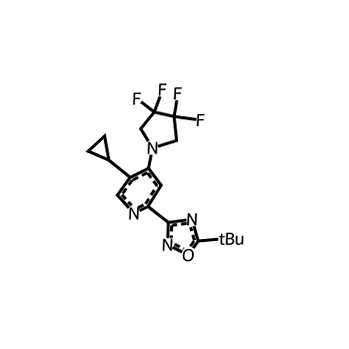 CC(C)(C)c1nc(-c2cc(N3CC(F)(F)C(F)(F)C3)c(C3CC3)cn2)no1